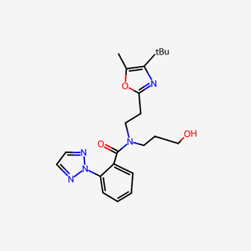 Cc1oc(CCN(CCCO)C(=O)c2ccccc2-n2nccn2)nc1C(C)(C)C